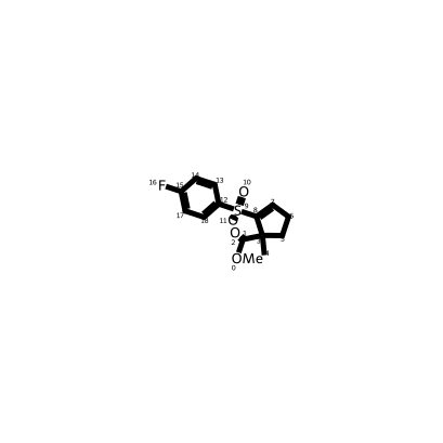 COC(=O)C1(C)CCC=C1S(=O)(=O)c1ccc(F)cc1